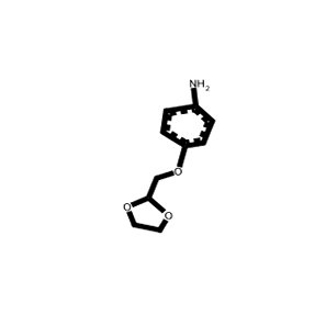 Nc1ccc(OCC2OCCO2)cc1